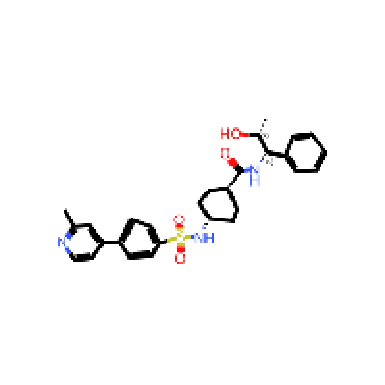 Cc1cc(-c2ccc(S(=O)(=O)N[C@H]3CC[C@H](C(=O)N[C@@H](c4ccccc4)[C@@H](C)O)CC3)cc2)ccn1